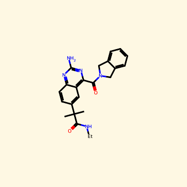 CCNC(=O)C(C)(C)c1ccc2nc(N)nc(C(=O)N3Cc4ccccc4C3)c2c1